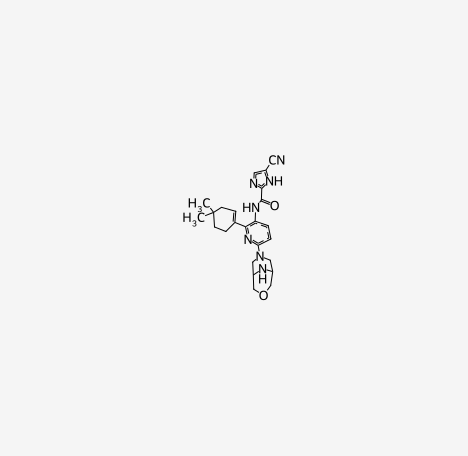 CC1(C)CC=C(c2nc(N3CC4COCC(C3)N4)ccc2NC(=O)c2ncc(C#N)[nH]2)CC1